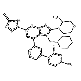 CC1COCCN1c1nc2nc(-c3noc(=O)[nH]3)nc(-c3cccc(-n4ccc(N)nc4=O)c3)c2n1CC1CCCCC1